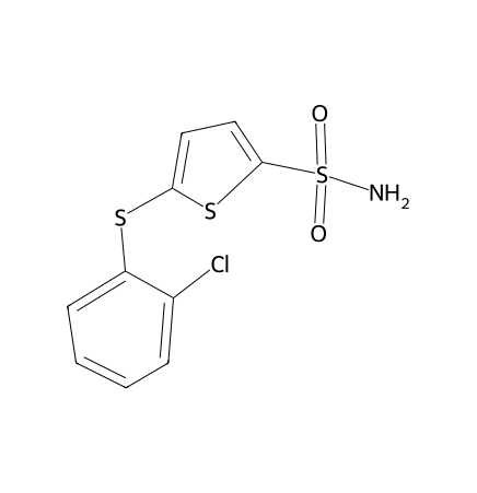 NS(=O)(=O)c1ccc(Sc2ccccc2Cl)s1